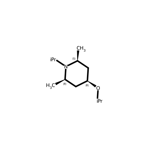 CC(C)O[C@H]1C[C@@H](C)N(C(C)C)[C@@H](C)C1